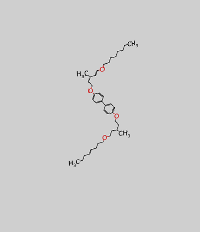 CCCCCCCCOCCC(C)CCOc1ccc(-c2ccc(OCCC(C)CCOCCCCCCCC)cc2)cc1